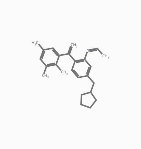 C=C(c1ccc(CC2CCCC2)cc1/N=C\C)c1cc(C)cc(C)c1C